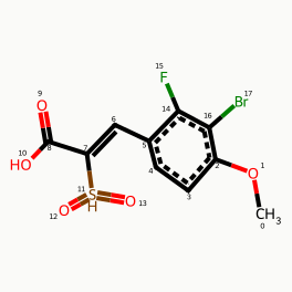 COc1ccc(/C=C(/C(=O)O)[SH](=O)=O)c(F)c1Br